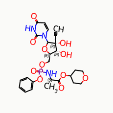 C#C[C@]1(O)C(n2ccc(=O)[nH]c2=O)O[C@H](COP(=O)(N[C@@H](C)C(=O)OC2CCOCC2)Oc2ccccc2)[C@H]1O